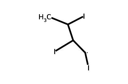 CC(I)C(I)[CH]I